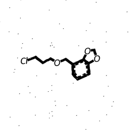 ClCCCOCc1cccc2c1OCO2